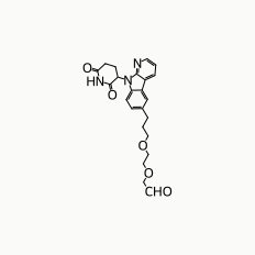 O=CCOCCOCCCc1ccc2c(c1)c1cccnc1n2C1CCC(=O)NC1=O